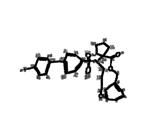 O=C(OCc1ccccc1)C1(N(CCCO)S(=O)(=O)c2ccc(-c3ccc(F)cc3)cc2)CCCC1